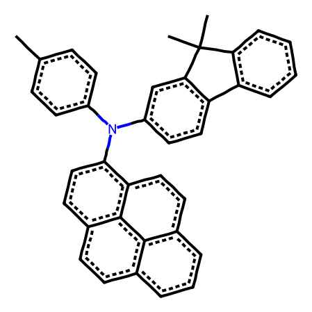 Cc1ccc(N(c2ccc3c(c2)C(C)(C)c2ccccc2-3)c2ccc3ccc4cccc5ccc2c3c45)cc1